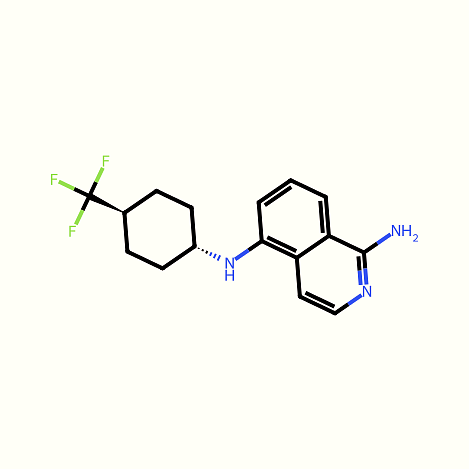 Nc1nccc2c(N[C@H]3CC[C@H](C(F)(F)F)CC3)cccc12